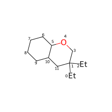 CCC1(CC)COC2CCCCC2C1